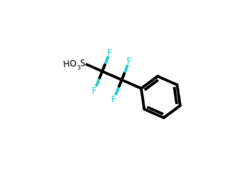 O=S(=O)(O)C(F)(F)C(F)(F)c1ccccc1